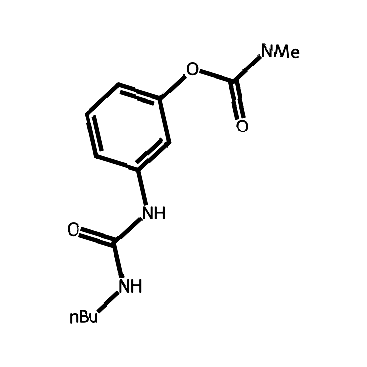 CCCCNC(=O)Nc1cccc(OC(=O)NC)c1